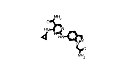 NC(=O)Cn1ncc2ccc(Nc3ncc(C(N)=O)c(NC4CC4)n3)cc21